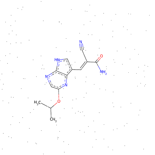 CC(C)Oc1cnc2[nH]cc(/C=C(\C#N)C(N)=O)c2n1